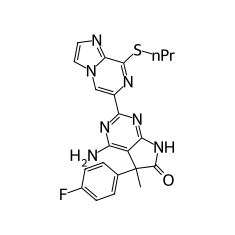 CCCSc1nc(-c2nc(N)c3c(n2)NC(=O)C3(C)c2ccc(F)cc2)cn2ccnc12